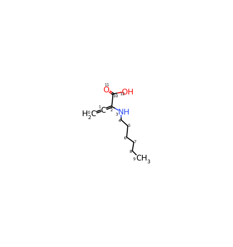 C=C=C(NCCCCCC)C(=O)O